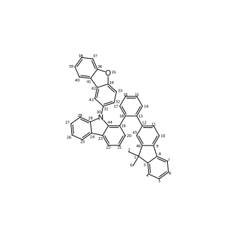 CC1(C)c2ccccc2-c2ccc(-c3ccccc3-c3cccc4c5ccccc5n(-c5ccc6oc7ccccc7c6c5)c34)cc21